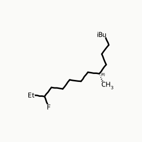 CCC(C)CCC[C@H](C)CCCCCC(F)CC